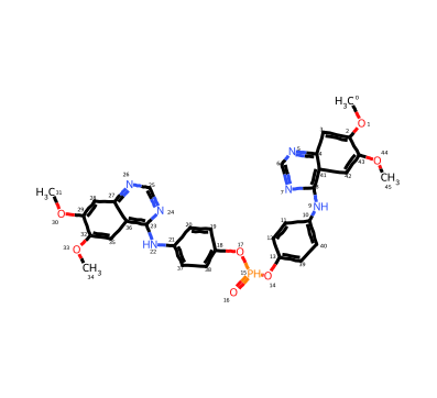 COc1cc2ncnc(Nc3ccc(O[PH](=O)Oc4ccc(Nc5ncnc6cc(OC)c(OC)cc56)cc4)cc3)c2cc1OC